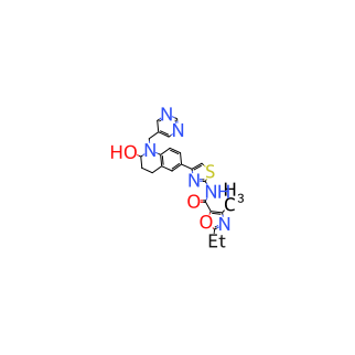 CCc1nc(C)c(C(=O)Nc2nc(-c3ccc4c(c3)CCC(O)N4Cc3cncnc3)cs2)o1